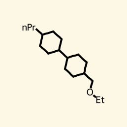 CCCC1CCC(C2CCC(COCC)CC2)CC1